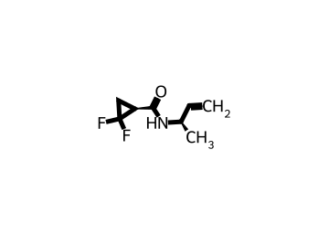 C=C[C@@H](C)NC(=O)[C@@H]1CC1(F)F